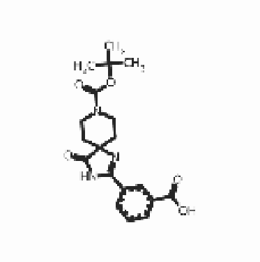 CC(C)(C)OC(=O)N1CCC2(CC1)N=C(c1cccc(C(=O)O)c1)NC2=O